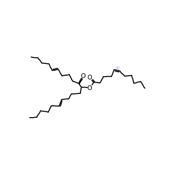 CCCCC=CCCCC(=O)C(CCCC=CCCCCC)OC(=O)CCC/C=C\CCCCC